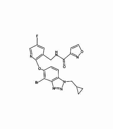 O=C(NCc1cc(F)cnc1Oc1ccc2c(nnn2CC2CC2)c1Br)c1ccon1